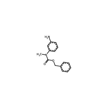 CN(C(=O)OCc1ccccc1)c1cccc(N)c1